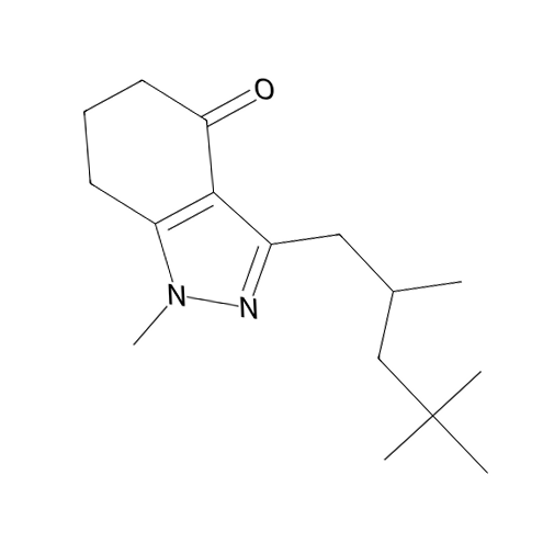 CC(Cc1nn(C)c2c1C(=O)CCC2)CC(C)(C)C